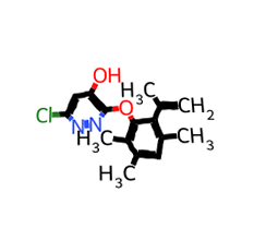 C=C(C)c1c(C)cc(C)c(C)c1Oc1nnc(Cl)cc1O